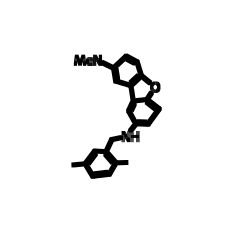 CNc1ccc2oc3ccc(NCc4cc(C)ccc4C)cc3c2c1